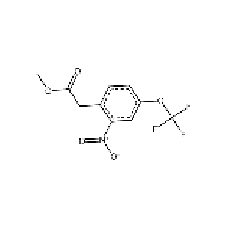 COC(=O)Cc1ccc(OC(F)(F)F)cc1[N+](=O)[O-]